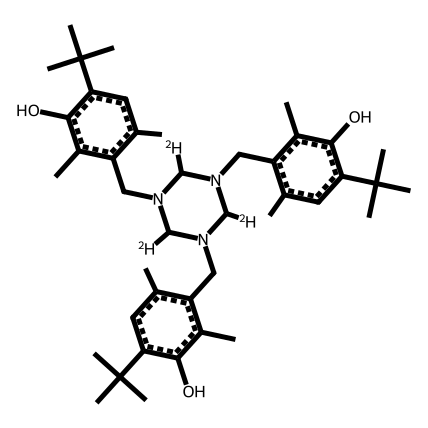 [2H]C1N(Cc2c(C)cc(C(C)(C)C)c(O)c2C)C([2H])N(Cc2c(C)cc(C(C)(C)C)c(O)c2C)C([2H])N1Cc1c(C)cc(C(C)(C)C)c(O)c1C